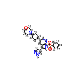 Cn1cc(-c2cn(S(=O)(=O)c3ccccc3)c3ncc([C@H]4CC[C@@H](N5CCCOCC5)CC4)cc23)cn1